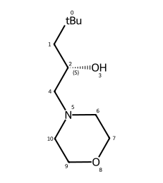 CC(C)(C)C[C@H](O)CN1CCOCC1